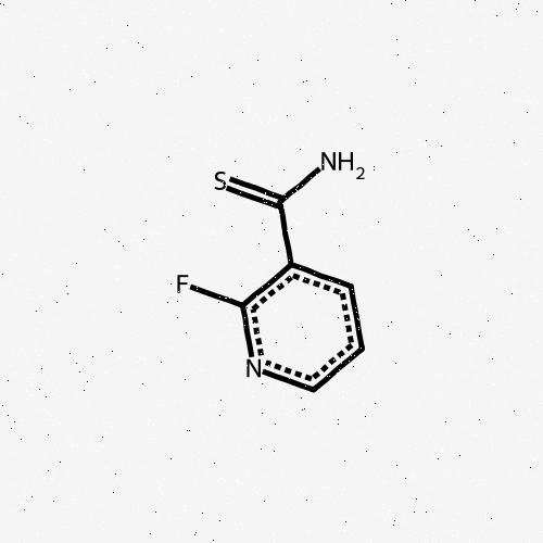 NC(=S)c1cccnc1F